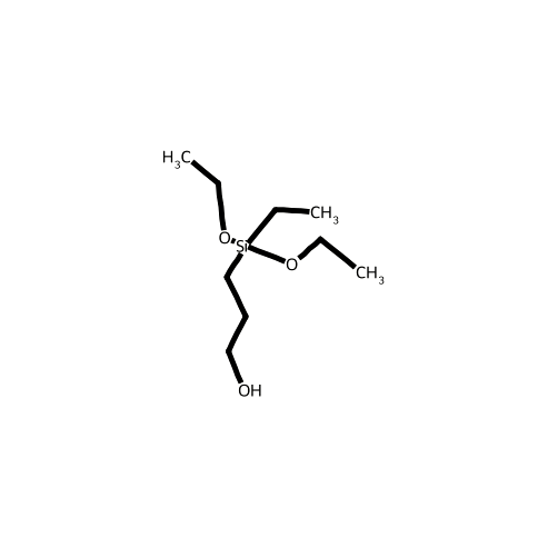 CCO[Si](CC)(CCCO)OCC